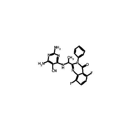 CC(Nc1nc(N)nc(N)c1C#N)c1nc2c(F)ccc(F)c2c(=O)n1-c1ccccc1